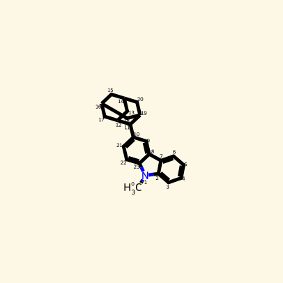 Cn1c2ccccc2c2cc(C3C4CC5CC(C4)CC3C5)ccc21